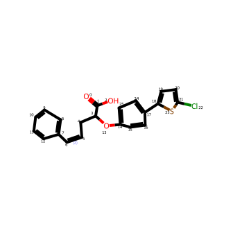 O=C(O)C(C/C=C\c1ccccc1)Oc1ccc(-c2ccc(Cl)s2)cc1